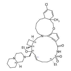 CCO[C@@]1(CN2CCN3CCCC[C@@H]3C2)/C=C/CC[C@@H](CC)S(=O)(=O)NC(=O)c2ccc3c(c2)N(CCCCC2C=C(Cl)C=CC2(C)CO3)C[C@@H]2CC[C@H]21